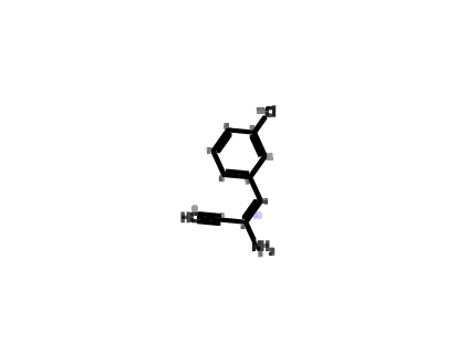 C#C/C(N)=C\c1cccc(Cl)c1